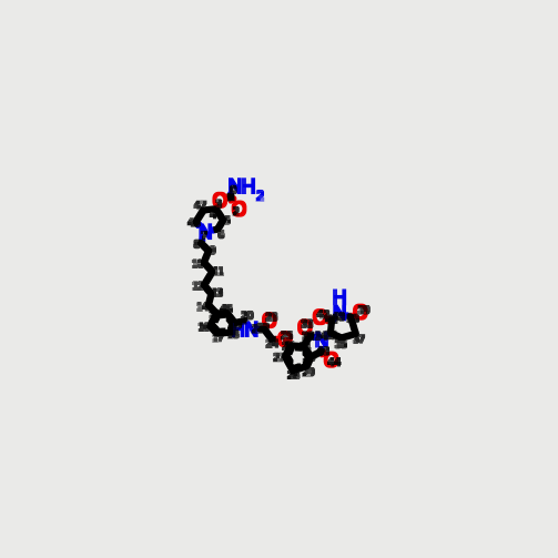 NC(=O)OC1CCN(CCCCCCCc2cccc(CNC(=O)COc3cccc4c3C(=O)N(C3CCC(=O)NC3=O)C4=O)c2)CC1